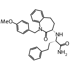 COc1ccc(CN2C(=O)[C@@H](N[C@@H](CCc3ccccc3)C(N)=O)CCc3ccccc32)cc1